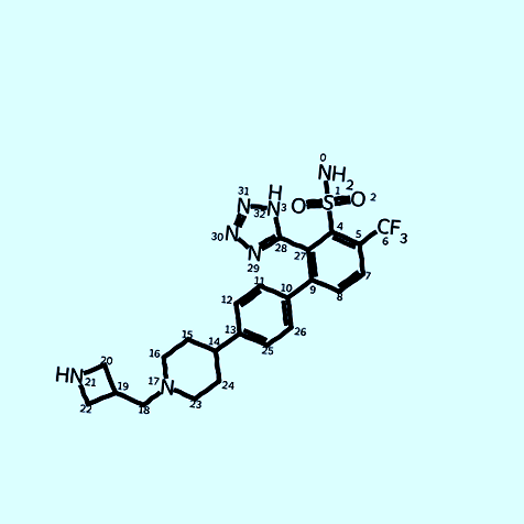 NS(=O)(=O)c1c(C(F)(F)F)ccc(-c2ccc(C3CCN(CC4CNC4)CC3)cc2)c1-c1nnn[nH]1